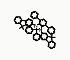 CC1(C)c2ccccc2-c2ccc(N3c4c(-c5ccccc5)ccc(-c5ccccc5)c4N(c4ccc5c(c4)C(C)(C)c4ccccc4-5)C3(c3ccccc3)c3ccccc3)cc21